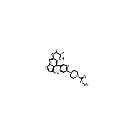 C[C@H](Oc1cc(-c2ccc(N3CCN(C(=O)OC(C)(C)C)CC3)nc2)c2c(C#N)cnn2c1)[C@@H](C)O